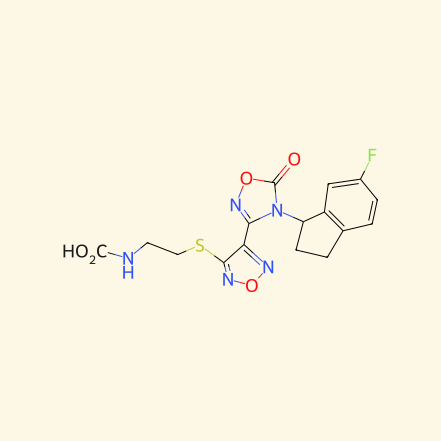 O=C(O)NCCSc1nonc1-c1noc(=O)n1C1CCc2ccc(F)cc21